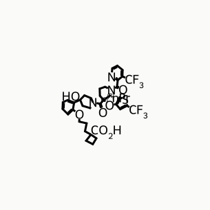 CCC[C@H]1N(C(=O)c2ncccc2C(F)(F)F)CCC[C@@]1(Oc1csc(C(F)(F)F)c1)C(=O)N1CCC(O)(c2ccccc2OCCCC2(C(=O)O)CCC2)CC1